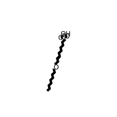 CCCCCCCCCOCC/C=C/CCCCCCS(=O)(=O)O